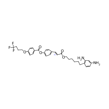 Nc1ccc(CCCCCCOC(=O)/C=C/c2ccc(OC(=O)c3ccc(OCCCC(F)(F)F)cc3)cc2)c(N)c1